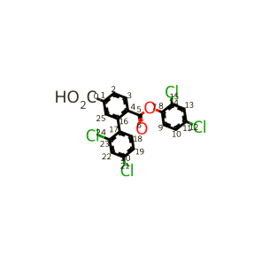 O=C(O)c1ccc(C(=O)Oc2ccc(Cl)cc2Cl)c(-c2ccc(Cl)cc2Cl)c1